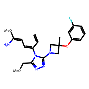 C=C/C(=C\C=C(/N)OC)n1c(COC)nnc1N1CC(C)(Oc2cccc(F)c2)C1